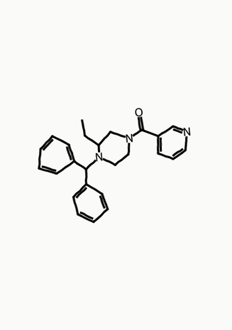 CCC1CN(C(=O)c2cccnc2)CCN1C(c1ccccc1)c1ccccc1